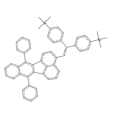 C[Si](C)(C)c1ccc(C(=Cc2ccc3c4c(cccc24)-c2c-3c(-c3ccccc3)c3ccccc3c2-c2ccccc2)c2ccc([Si](C)(C)C)cc2)cc1